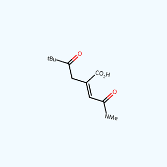 CNC(=O)/C=C(/CC(=O)C(C)(C)C)C(=O)O